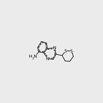 Nc1cccc2nc(C3CCCSS3)cnc12